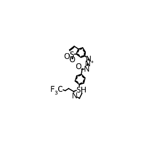 O=C(N=[N+]=Nc1ccc2c(c1)S(=O)(=O)C=C2)c1ccc([SH]2CCN=C2CCC(F)(F)F)cc1